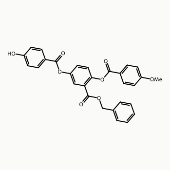 COc1ccc(C(=O)Oc2ccc(OC(=O)c3ccc(O)cc3)cc2C(=O)OCc2ccccc2)cc1